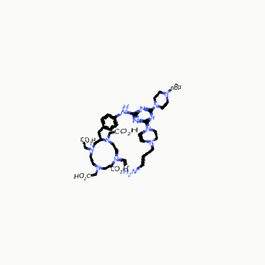 CCCCN1CCN(c2nc(Nc3ccc(CC4CN(CC(=O)O)CCN(CC(=O)O)CCN(CC(=O)O)CCN4CC(=O)O)cc3)nc(N3CCN(CCCN)CC3)n2)CC1